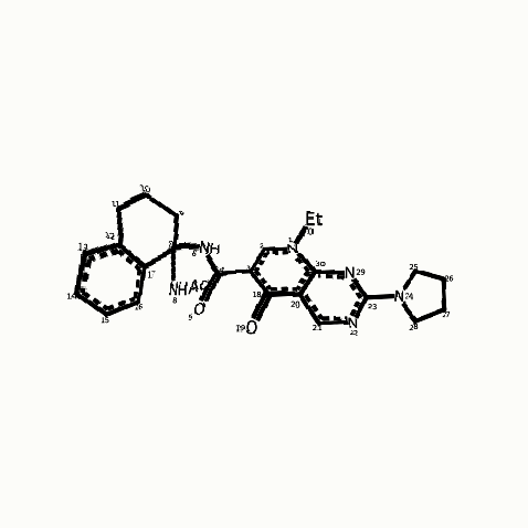 CCn1cc(C(=O)NC2(NC(C)=O)CCCc3ccccc32)c(=O)c2cnc(N3CCCC3)nc21